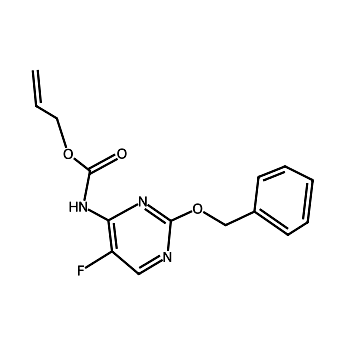 C=CCOC(=O)Nc1nc(OCc2ccccc2)ncc1F